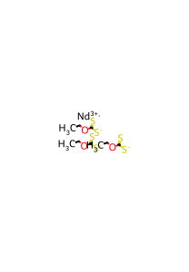 CCOC(=S)[S-].CCOC(=S)[S-].CCOC(=S)[S-].[Nd+3]